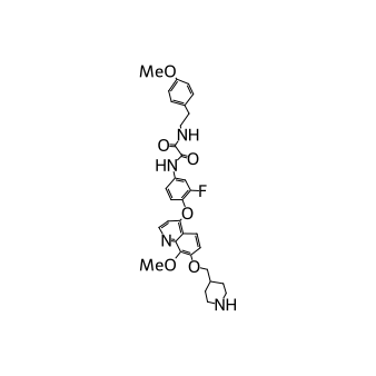 COc1ccc(CCNC(=O)C(=O)Nc2ccc(Oc3ccnc4c(OC)c(OCC5CCNCC5)ccc34)c(F)c2)cc1